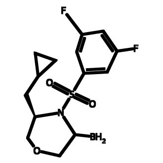 BC1COC[C@@H](CC2CC2)N1S(=O)(=O)c1cc(F)cc(F)c1